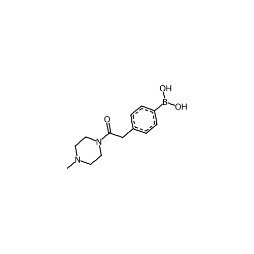 CN1CCN(C(=O)Cc2ccc(B(O)O)cc2)CC1